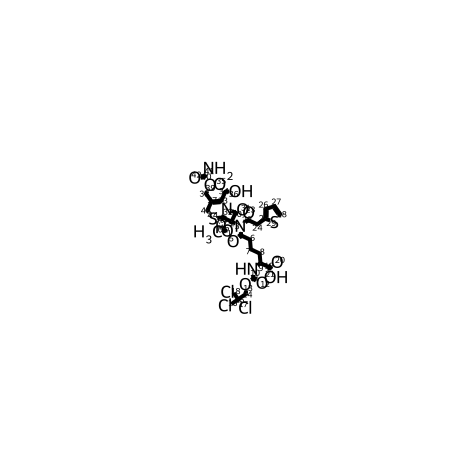 COC1(N(C(=O)CCCC(NC(=O)OCC(Cl)(Cl)Cl)C(=O)O)C(=O)Cc2cccs2)C(=O)N2C(C(=O)O)=C(COC(N)=O)CS[C@H]21